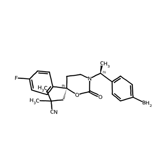 Bc1ccc([C@H](C)N2CC[C@](CC(C)(C)C#N)(c3ccc(F)cc3)OC2=O)cc1